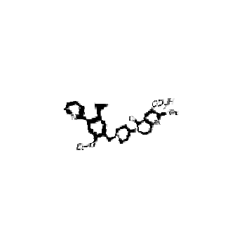 CCCc1nc2c(cc1C(=O)O)C(=O)N(C1CCN(Cc3cc(C4CC4)c(-c4ccccn4)cc3OCC)CC1)CC2